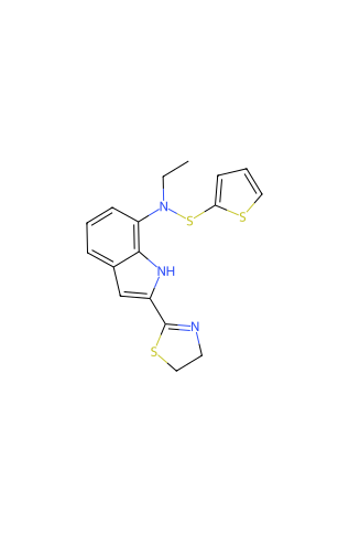 CCN(Sc1cccs1)c1cccc2cc(C3=NCCS3)[nH]c12